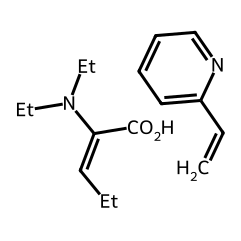 C=Cc1ccccn1.CC/C=C(\C(=O)O)N(CC)CC